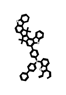 C=Cc1oc2c(N(c3ccc(-c4ccccc4)cc3)c3ccc(-c4cc5c(c6c4oc4ccccc46)C4=C(c6ccc7oc8c(c7c6C4(C)C)CCC=C8)C5(C)C)cc3)cccc2c1/C=C\C